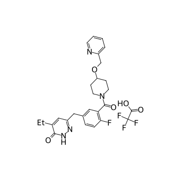 CCc1cc(Cc2ccc(F)c(C(=O)N3CCC(OCc4ccccn4)CC3)c2)n[nH]c1=O.O=C(O)C(F)(F)F